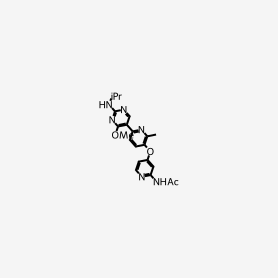 COc1nc(NC(C)C)ncc1-c1ccc(Oc2ccnc(NC(C)=O)c2)c(C)n1